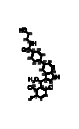 CC(c1c(Cl)ccc(F)c1Cl)c1c[nH]c2ncc(-c3ccc(C(=O)NCCO)cc3)cc12